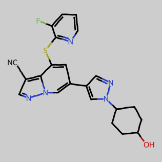 N#Cc1cnn2cc(-c3cnn(C4CCC(O)CC4)c3)cc(Sc3ncccc3F)c12